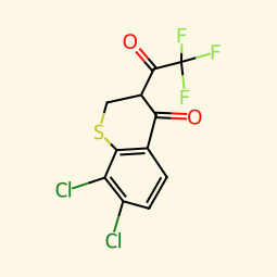 O=C1c2ccc(Cl)c(Cl)c2SCC1C(=O)C(F)(F)F